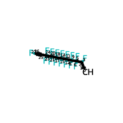 C#CC(F)C(F)(F)C(F)(F)C(F)(F)C(F)(F)C(F)(F)C(F)(F)C(F)(F)C#CF